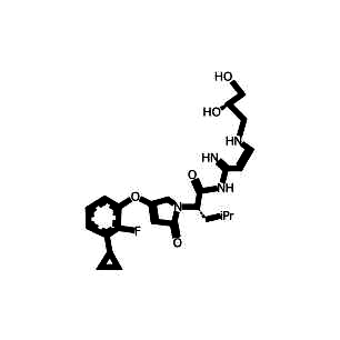 CC(C)C[C@@H](C(=O)NC(=N)/C=C\NC[C@@H](O)CO)N1CC(Oc2cccc(C3CC3)c2F)=CC1=O